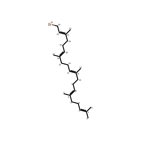 CC(C)=CCCC(C)=CCCC(C)=CCCC(C)=CCCC(C)=CCBr